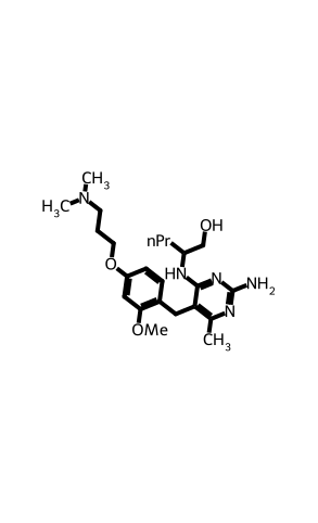 CCCC(CO)Nc1nc(N)nc(C)c1Cc1ccc(OCCCN(C)C)cc1OC